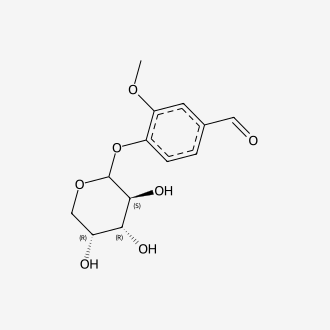 COc1cc(C=O)ccc1OC1OC[C@@H](O)[C@@H](O)[C@@H]1O